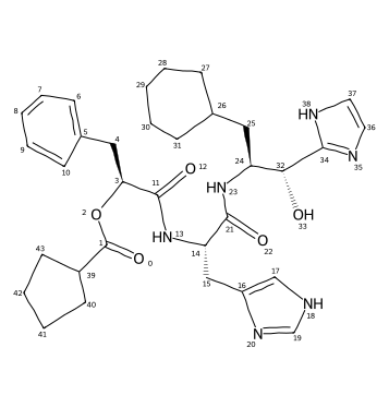 O=C(O[C@@H](Cc1ccccc1)C(=O)N[C@@H](Cc1c[nH]cn1)C(=O)N[C@@H](CC1CCCCC1)[C@@H](O)c1ncc[nH]1)C1CCCC1